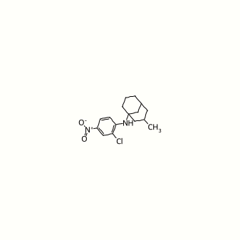 CC1CC2CCCC(Nc3ccc([N+](=O)[O-])cc3Cl)(C1)C2